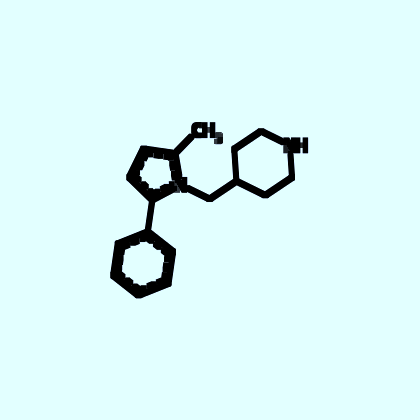 Cc1ccc(-c2ccccc2)n1CC1CCNCC1